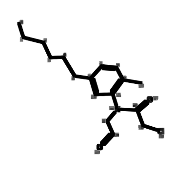 CCCCCCc1ccc(C)c(N(CC=O)C(=O)CCl)c1